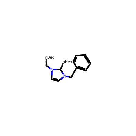 CCCCCCCCCCCN1C=CN(Cc2ccccc2)C1CCCCCCC